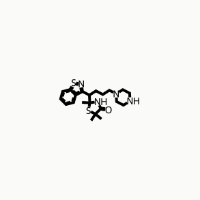 CC1(C)SC(C)(C(CCCN2CCNCC2)c2nsc3ccccc23)NC1=O